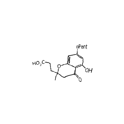 CCCCCc1cc(O)c2c(c1)OC(C)(CCC(=O)O)CC2=O